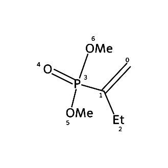 C=C(CC)P(=O)(OC)OC